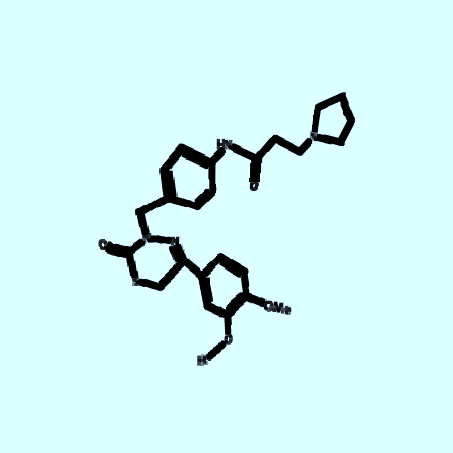 CCOc1cc(C2=NN(Cc3ccc(NC(=O)CCN4CCCC4)cc3)C(=O)SC2)ccc1OC